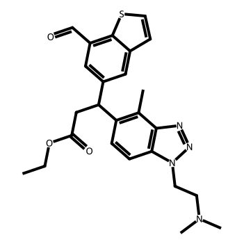 CCOC(=O)CC(c1cc(C=O)c2sccc2c1)c1ccc2c(nnn2CCN(C)C)c1C